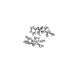 C#CC1(Cl)[C@@H](O)[C@@H](CO[P@](=O)(Oc2ccccc2)O[C@@H](C)C(=O)OC(C)C)O[C@H]1n1cc(F)c(=O)[nH]c1=O